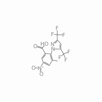 Cc1cc([N+](=O)[O-])cc(C(=O)O)c1-n1nc(C(F)(F)F)cc1C(F)(F)F